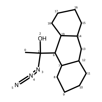 CC(O)(N=[N+]=[N-])C1C2CCCCC2CC2CCCCC21